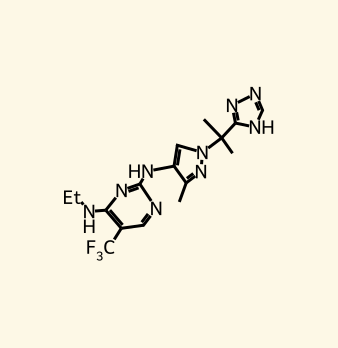 CCNc1nc(Nc2cn(C(C)(C)c3nnc[nH]3)nc2C)ncc1C(F)(F)F